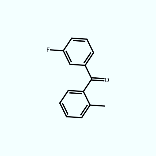 Cc1ccccc1C(=O)c1cccc(F)c1